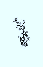 Cn1nc(C(F)(F)C(F)(F)F)c(C(F)(F)F)c1-c1cc(-c2cc(C(=O)NC3CC3)c(C#N)s2)cs1